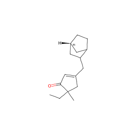 CCC1(C)CC(CC2C[C@@H]3CCC2C3)=CC1=O